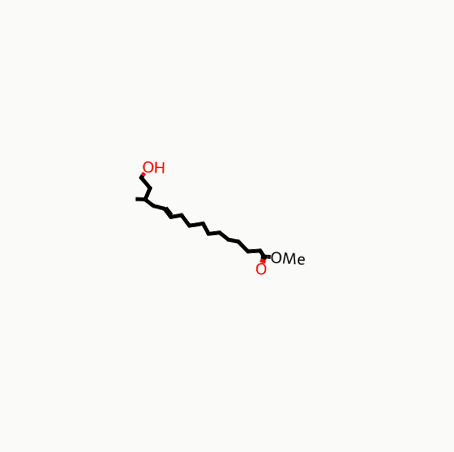 COC(=O)CCCCCCCCCC=CCC(C)CCO